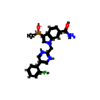 C[S+]([O-])c1cn(Cc2ncc(-c3ccccc3F)cn2)c2cc(C(N)=O)ccc12